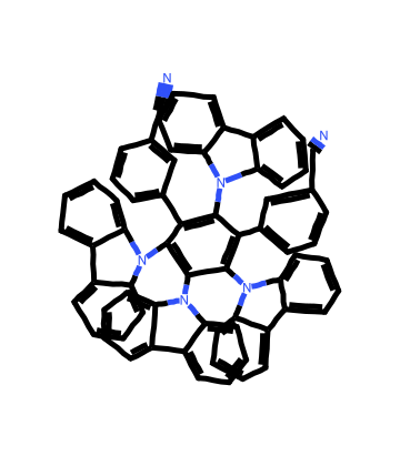 N#Cc1cccc(-c2c(-n3c4ccccc4c4ccccc43)c(-c3cccc(C#N)c3)c(-n3c4ccccc4c4ccccc43)c(-n3c4ccccc4c4ccccc43)c2-n2c3ccccc3c3ccccc32)c1